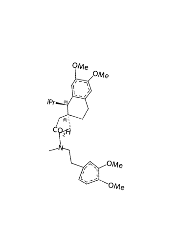 COc1ccc(CCN(C)CC[C@@]2(CC(=O)O)CCc3cc(OC)c(OC)cc3[C@@H]2C(C)C)cc1OC